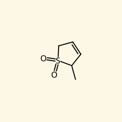 CC1C=CCS1(=O)=O